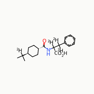 [2H]C(NC(=O)[C@H]1CC[C@H](C([2H])(C)C)CC1)(C(=O)O)C([2H])([2H])c1ccccc1